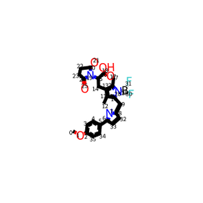 COc1ccc(C2=N/C(=C\c3c(C)c(CC(C(=O)O)N4C(=O)CCC4=O)c(C)n3B(F)F)C=C2)cc1